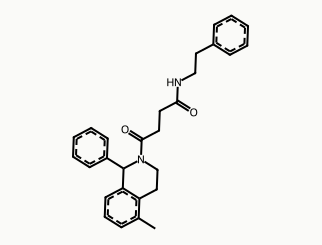 Cc1cccc2c1CCN(C(=O)CCC(=O)NCCc1ccccc1)C2c1ccccc1